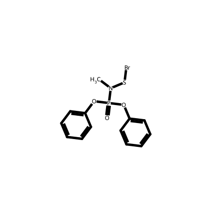 CN(SBr)P(=O)(Oc1ccccc1)Oc1ccccc1